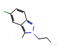 CCCn1nc2ccc(F)cc2c1C